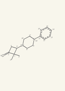 CC1(C)C(=O)CC1N1CCN(c2ccccn2)CC1